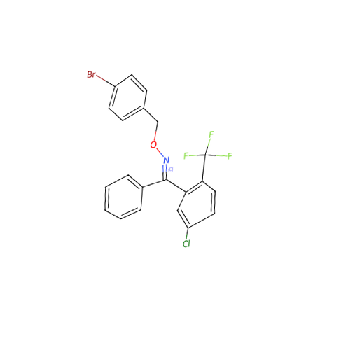 FC(F)(F)c1ccc(Cl)cc1/C(=N/OCc1ccc(Br)cc1)c1ccccc1